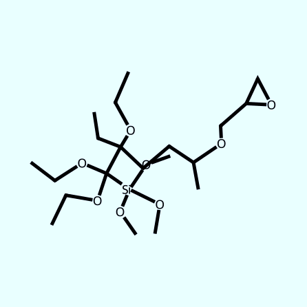 CCOC(CC)(CCC(C)OCC1CO1)C(OCC)(OCC)[Si](OC)(OC)OC